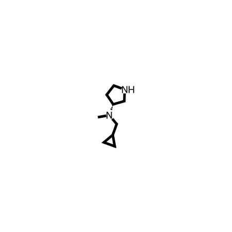 CN(CC1CC1)[C@@H]1CCNC1